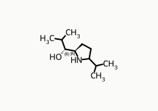 CC(C)C1CC[C@H]([C@H](O)C(C)C)N1